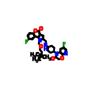 C[Si](C)(C)CCOCn1c(CNC2CCC(N3C(=O)COc4ncc(F)cc43)CC2)cc2c(=O)oc3ccc(F)cc3c21